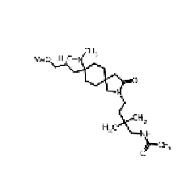 COCCCC1(N(C)C)CCC2(CC1)CC(=O)N(CCC(C)(C)CNC(=O)C(F)(F)F)C2